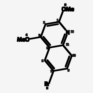 COc1cc(OC)c2cc(Br)ccc2n1